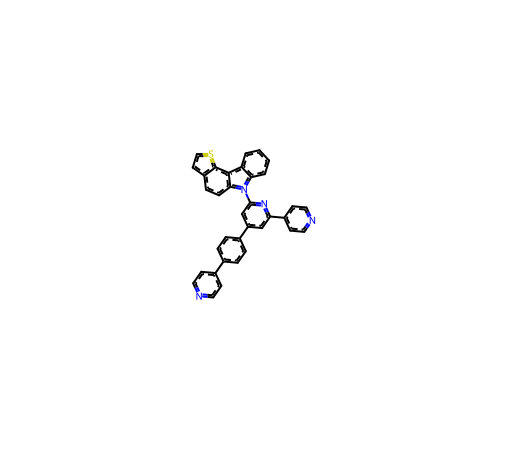 c1ccc2c(c1)c1c3sccc3ccc1n2-c1cc(-c2ccc(-c3ccncc3)cc2)cc(-c2ccncc2)n1